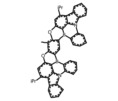 Cc1c2c(cc3c1Oc1cc(C(C)C)c4c5ccccc5n5c4c1B3c1ccccc1-5)B1c3ccccc3-n3c4ccccc4c4c(C(C)C)cc(c1c43)O2